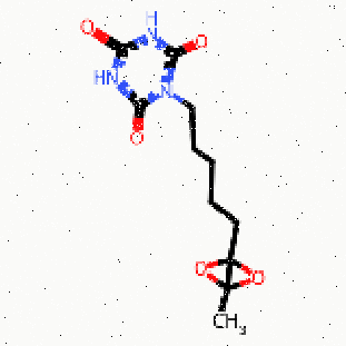 CC12OC1(CCCCCn1c(=O)[nH]c(=O)[nH]c1=O)O2